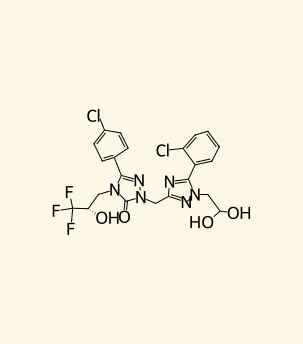 O=c1n(Cc2nc(-c3ccccc3Cl)n(CC(O)O)n2)nc(-c2ccc(Cl)cc2)n1C[C@H](O)C(F)(F)F